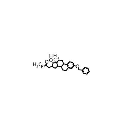 COC(=O)CC1CC2C3CCc4cc(OCc5ccccc5)ccc4C3CC[C@]2(C)[C@H]1O